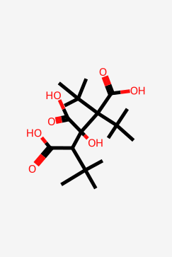 CC(C)(C)C(C(=O)O)C(O)(C(=O)O)C(C(=O)O)(C(C)(C)C)C(C)(C)C